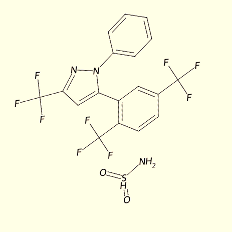 FC(F)(F)c1ccc(C(F)(F)F)c(-c2cc(C(F)(F)F)nn2-c2ccccc2)c1.N[SH](=O)=O